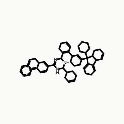 C1=CC(C2C=C(C3(C4CCCCC4)C4=CCCC=C4C4C=CCCC43)CCC2)=C(C2N=C(C3=CC4CC=c5ccccc5=C4C=C3)NC(C3CC=CCC3)N2)CC1